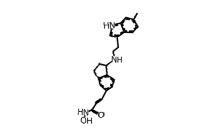 Cc1ccc2c(CCNC3CCc4cc(C=CC(=O)NO)ccc43)c[nH]c2c1